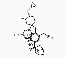 BCc1cc(C(=O)N2C3CC(O)CC2C3)c(=O)[nH]c1CC1(c2cc(O)ccc2C)CCN(CC2CC2)C(C)C1